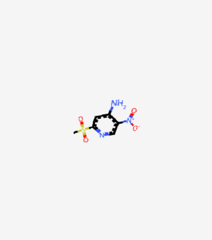 CS(=O)(=O)c1cc(N)c([N+](=O)[O-])cn1